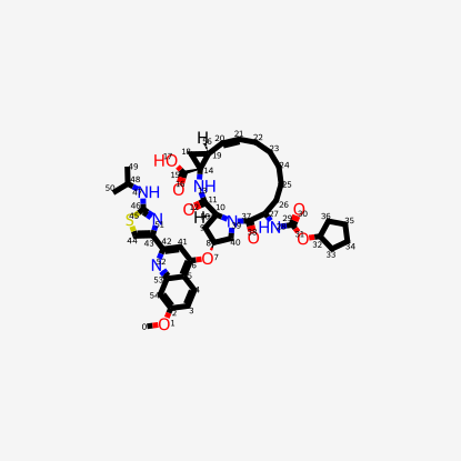 COc1ccc2c(O[C@@H]3C[C@H]4C(=O)N[C@]5(C(=O)O)C[C@H]5/C=C\CCCCCC(NC(=O)OC5CCCC5)C(=O)N4C3)cc(-c3csc(NC(C)C)n3)nc2c1